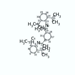 C/C(=N\c1c(C(C)C)cccc1C(C)C)c1cccc(/C(C)=N/c2c(C(C)C)cccc2C(C)C)c1